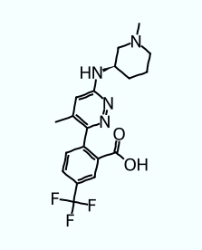 Cc1cc(N[C@@H]2CCCN(C)C2)nnc1-c1ccc(C(F)(F)F)cc1C(=O)O